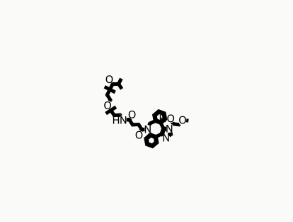 COCC(O)n1cnc2c1-c1ccccc1CN(C(=O)CCC(=O)NCCC(C)(C)OCCC(C)(C)C(=O)C(C)C)c1ccccc1-2